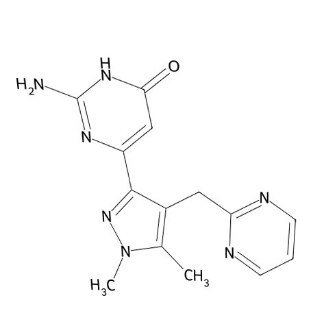 Cc1c(Cc2ncccn2)c(-c2cc(=O)[nH]c(N)n2)nn1C